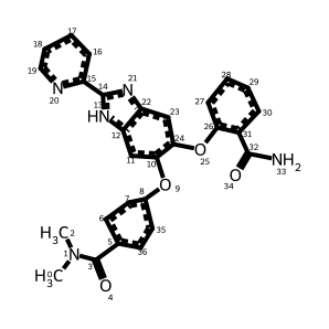 CN(C)C(=O)c1ccc(Oc2cc3[nH]c(-c4ccccn4)nc3cc2Oc2ccccc2C(N)=O)cc1